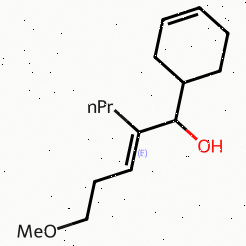 CCC/C(=C\CCOC)C(O)C1CC=CCC1